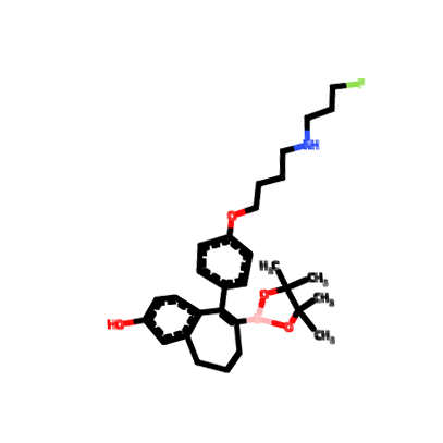 CC1(C)OB(C2=C(c3ccc(OCCCCNCCCF)cc3)c3ccc(O)cc3CCC2)OC1(C)C